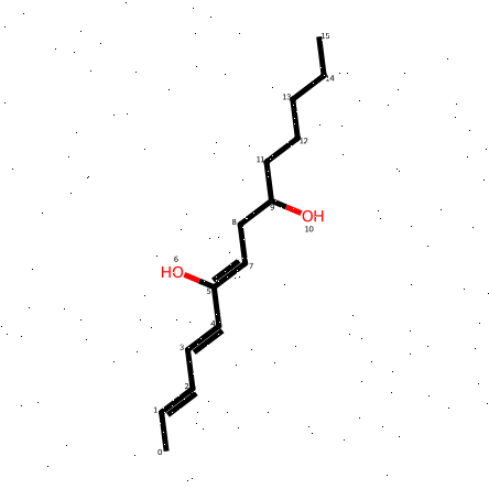 CC=CC=CC(O)=CCC(O)CCCCC